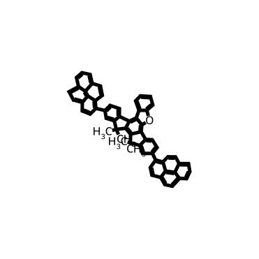 CC1(C)c2cc(-c3ccc4ccc5cccc6ccc3c4c56)ccc2-c2c1c1c(c3c2oc2ccccc23)-c2ccc(-c3ccc4ccc5cccc6ccc3c4c56)cc2C1(C)C